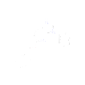 S=c1[nH]c2ccc(OCc3ccccc3)nc2n1-c1ccccc1